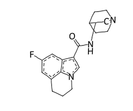 O=C(NC1CN2CCC1CC2)c1cn2c3c(cc(F)cc13)CCC2